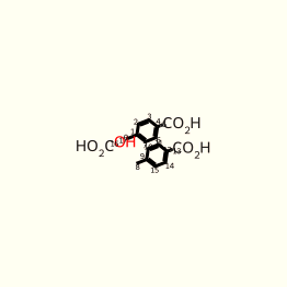 Cc1ccc(C(=O)O)cc1.Cc1ccc(C(=O)O)cc1.O=C(O)O